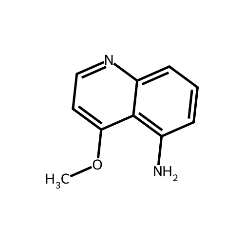 COc1ccnc2cccc(N)c12